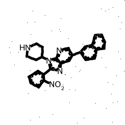 O=[N+]([O-])c1ccccc1-c1nc2cc(-c3ccc4ccccc4c3)cnc2n1C1CCNCC1